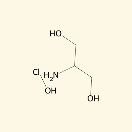 NC(CO)CO.OCl